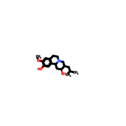 COc1cc2c(cc1O)C1C[C@H](O)C(CC(C)C)CN1CC2